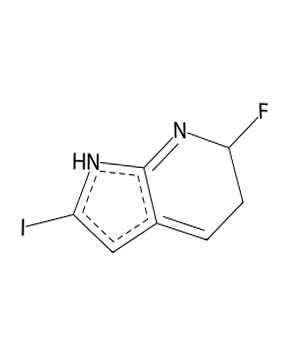 FC1CC=c2cc(I)[nH]c2=N1